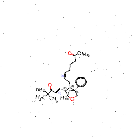 CCCCC(C)(C)C(=O)/C=C/[C@@H]1[C@@H](C/C=C\CCCC(=O)OC)[C@@]2(c3ccccc3)CO[C@@H]1C2